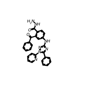 NNC(=O)c1ccc(Nc2nc(-c3ccccc3)n(-c3ccccn3)n2)cc1C(=O)c1ccccc1